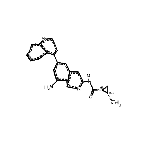 C[C@H]1C[C@@H]1C(=O)Nc1cc2cc(-c3ccnc4ccccc34)cc(N)c2cn1